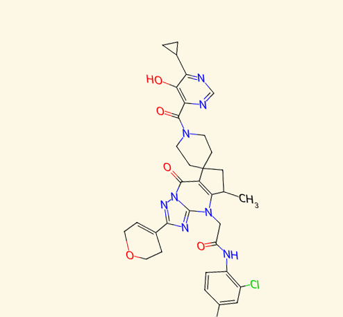 CC1CC2(CCN(C(=O)c3ncnc(C4CC4)c3O)CC2)c2c1n(CC(=O)Nc1ccc(C(F)(F)F)cc1Cl)c1nc(C3=CCOCC3)nn1c2=O